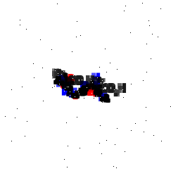 Cc1ccn(C(CC(C)C)C(=O)N[C@@H](CC(=O)O)c2cnc(C)c(N3CCCC(c4ccc5c(=O)n([C@@H](CC(C)C)C(=O)N[C@@H](CC(=O)O)c6cccc(N7CCC(C)CC7)c6)cnc5c4)C3)c2)c(=O)c1